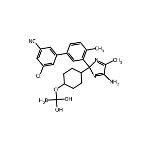 BC(O)(O)OC1CCC(C2(c3cc(-c4cc(Cl)cc(C#N)c4)ccc3C)N=C(C)C(N)=N2)CC1